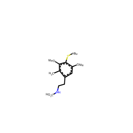 CCCCSc1c(OC)cc(CCNC(=O)O)c(C)c1OC